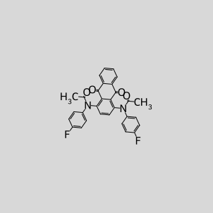 CC(=O)N(c1ccc(F)cc1)c1ccc(N(C(C)=O)c2ccc(F)cc2)c2c1C(=O)c1ccccc1C2=O